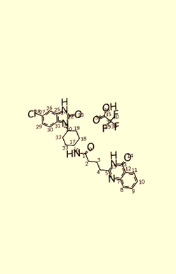 O=C(CCCc1nc2ccccc2c(=O)[nH]1)N[C@H]1CC[C@H](n2c(=O)[nH]c3cc(Cl)ccc32)CC1.O=C(O)C(F)(F)F